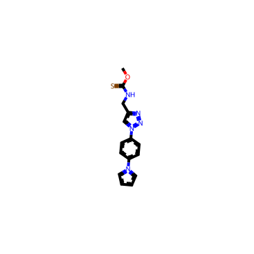 COC(=S)NCc1cn(-c2ccc(-n3cccc3)cc2)nn1